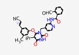 Cc1cc(/C=C/C#N)cc(Oc2c(C(C)C)c(=O)[nH]c(=O)n2Cc2ccnc(NC(=O)c3ccccc3C=O)c2)c1